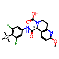 COc1ccc2c(n1)CCN(C(=O)O)[C@@H]2C(=O)Nc1cc(F)c([Si](C)(C)C)c(F)c1